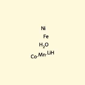 O.[Co].[Fe].[LiH].[Mn].[Ni]